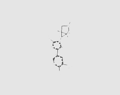 CCN1C[C@@H]2[C@H](C1)[C@H]2n1cc(-c2cnc(C)c(C(F)(F)F)c2)nc1C(C)C